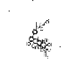 COCCOC(=O)Nc1ccc(-c2ccc(O)c3c2C[C@H]2C[C@H]4[C@H](N(C)C)C(O)=C(C(N)=O)C(=O)[C@@]4(O)C(O)=C2C3=O)cc1